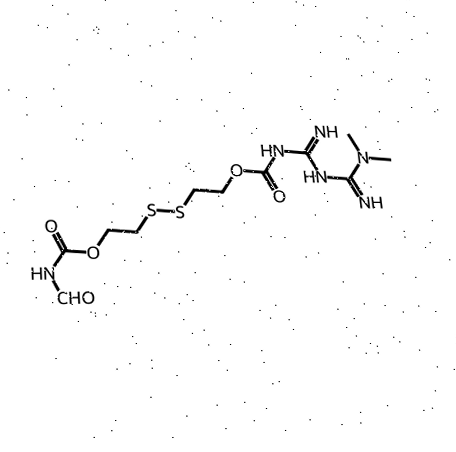 CN(C)C(=N)NC(=N)NC(=O)OCCSSCCOC(=O)NC=O